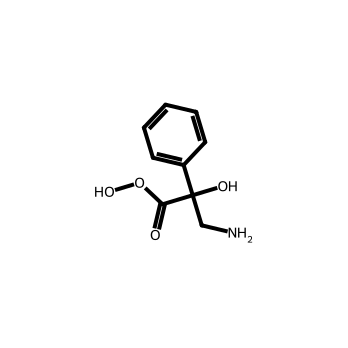 NCC(O)(C(=O)OO)c1ccccc1